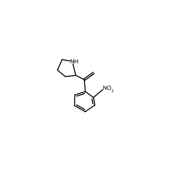 C=C(c1ccccc1[N+](=O)[O-])C1CCCN1